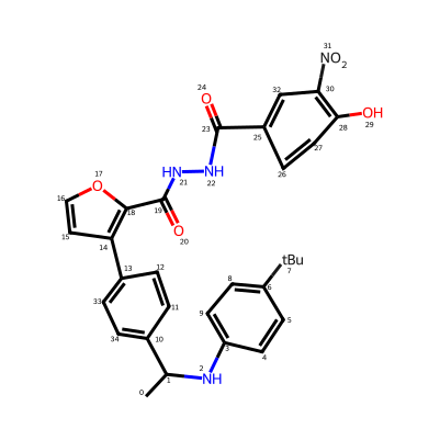 CC(Nc1ccc(C(C)(C)C)cc1)c1ccc(-c2ccoc2C(=O)NNC(=O)c2ccc(O)c([N+](=O)[O-])c2)cc1